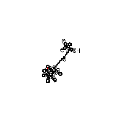 COc1ccc(C(OC[C@@H]2C[C@@H](O)CN2C(=O)CCCCCCC(=O)CCCCCCCCOC2OC(COC(=O)c3ccccc3)C(OC3OC(COC(=O)c4ccccc4)C(OC(=O)c4ccccc4)C(OC(=O)c4ccccc4)C3OC(=O)c3ccccc3)C(OC(=O)c3ccccc3)C2C)(c2ccccc2)c2ccc(OC)cc2)cc1